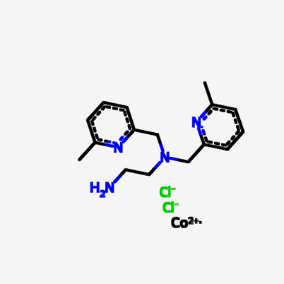 Cc1cccc(CN(CCN)Cc2cccc(C)n2)n1.[Cl-].[Cl-].[Co+2]